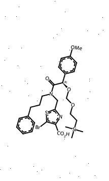 COc1ccc([C@@H](OCOCC[Si](C)(C)C)C(=O)N(CCCc2ccccc2)Cc2nc(C(=O)O)c(Br)s2)cc1